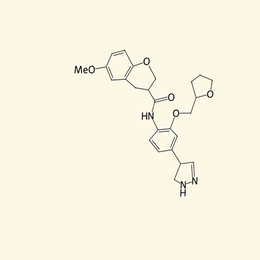 COc1ccc2c(c1)CC(C(=O)Nc1ccc(C3C=NNC3)cc1OCC1CCCO1)CO2